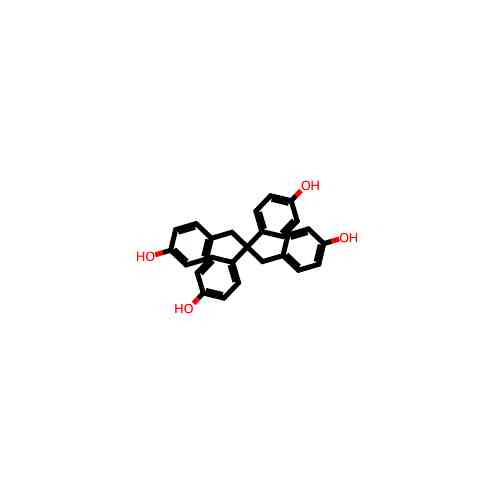 Oc1ccc(CC(Cc2ccc(O)cc2)(c2ccc(O)cc2)c2ccc(O)cc2)cc1